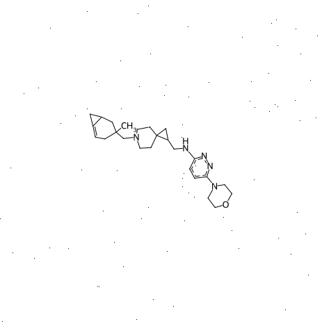 CC1(CN2CCC3(CC2)CC3CNc2ccc(N3CCOCC3)nn2)CC=C2CC2C1